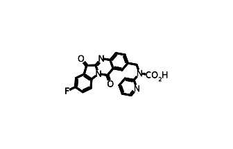 O=C1c2cc(F)ccc2-n2c1nc1ccc(CN(C(=O)O)c3ccccn3)cc1c2=O